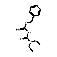 CSN(SC)C(=O)NC(=N)OCc1ccccc1